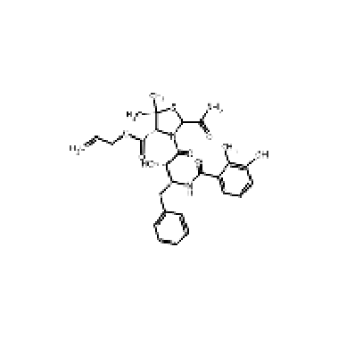 C=CCOC(=O)[C@H]1N(C(=O)[C@@H](O)[C@H](Cc2ccccc2)NC(=O)c2cccc(O)c2C)C(C(N)=O)SC1(C)C